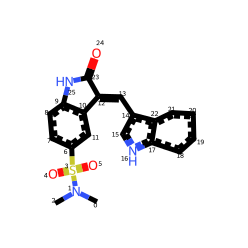 CN(C)S(=O)(=O)c1ccc2c(c1)/C(=C\c1c[nH]c3ccccc13)C(=O)N2